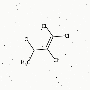 CC([O])C(Cl)=C(Cl)Cl